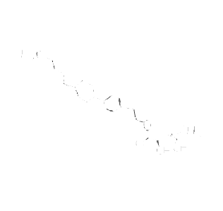 C=C(CN(C)C)C(=O)OCCc1ccc(C2CCC(CCCCC)CC2)cc1